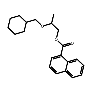 CC(COC(=O)c1cccc2ccccc12)OCC1CCCCC1